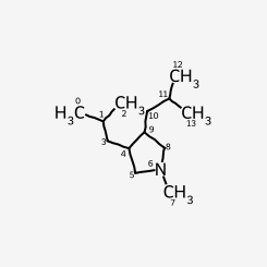 CC(C)CC1CN(C)CC1CC(C)C